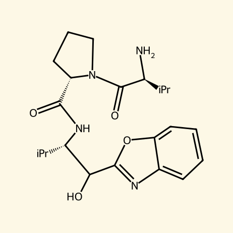 CC(C)[C@H](NC(=O)[C@@H]1CCCN1C(=O)[C@@H](N)C(C)C)C(O)c1nc2ccccc2o1